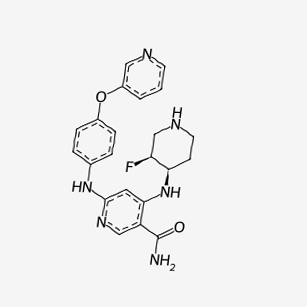 NC(=O)c1cnc(Nc2ccc(Oc3cccnc3)cc2)cc1N[C@@H]1CCNC[C@@H]1F